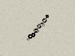 COc1ccc2cc(-c3cnc(N4CCN(CC(=O)N5CCN(C6CCC6)CC5)CC4)cn3)ccc2c1